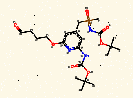 CC(C)(C)OC(=O)N=S(C)(=O)Cc1cc(NC(=O)OC(C)(C)C)nc(OCCCC=O)c1